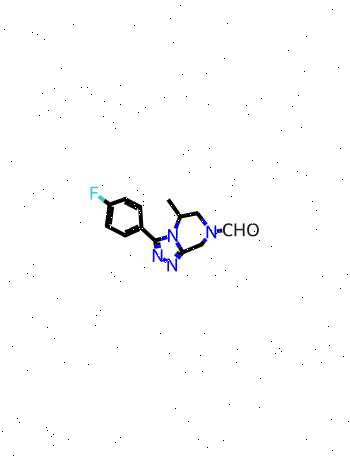 CC1CN(C=O)Cc2nnc(-c3ccc(F)cc3)n21